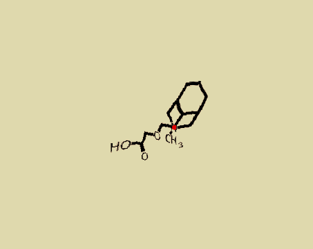 CN1CC2CCCC(C1)C2CCOCC(=O)O